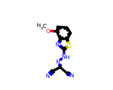 COc1cccc2sc(NN=C(C#N)C#N)nc12